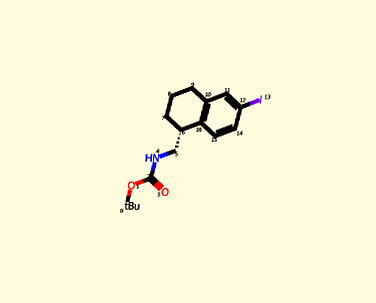 CC(C)(C)OC(=O)NC[C@@H]1CCCc2cc(I)ccc21